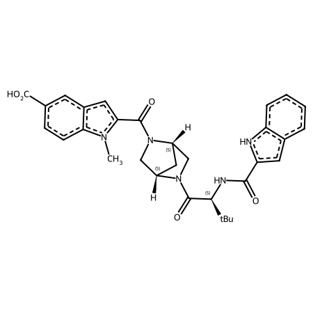 Cn1c(C(=O)N2C[C@@H]3C[C@H]2CN3C(=O)[C@@H](NC(=O)c2cc3ccccc3[nH]2)C(C)(C)C)cc2cc(C(=O)O)ccc21